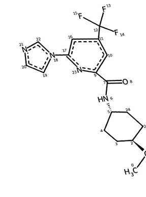 CO[C@H]1CC[C@H](NC(=O)c2cc(C(F)(F)F)cc(-n3ccnc3)n2)CC1